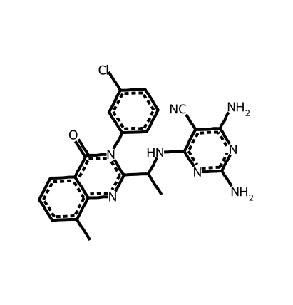 Cc1cccc2c(=O)n(-c3cccc(Cl)c3)c(C(C)Nc3nc(N)nc(N)c3C#N)nc12